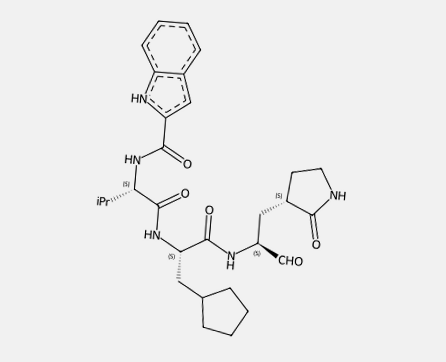 CC(C)[C@H](NC(=O)c1cc2ccccc2[nH]1)C(=O)N[C@@H](CC1CCCC1)C(=O)N[C@H](C=O)C[C@@H]1CCNC1=O